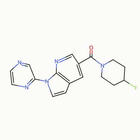 O=C(c1cnc2c(ccn2-c2cnccn2)c1)N1CCC(F)CC1